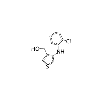 OCc1cscc1Nc1ccccc1Cl